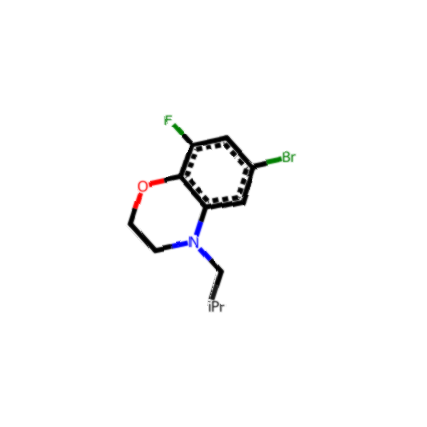 CC(C)CN1CCOc2c(F)cc(Br)cc21